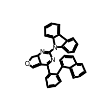 C1=C2C(c3ccccc3-c3cccc4ccccc34)=NC(n3c4ccccc4c4ccccc43)=NC2CO1